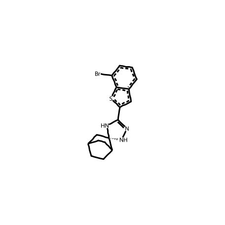 Brc1cccc2cc(C3=NN[C@]4(CC5CCC4CC5)N3)sc12